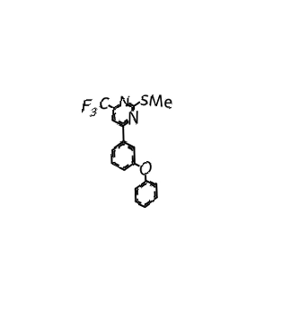 CSc1nc(-c2cccc(Oc3ccccc3)c2)cc(C(F)(F)F)n1